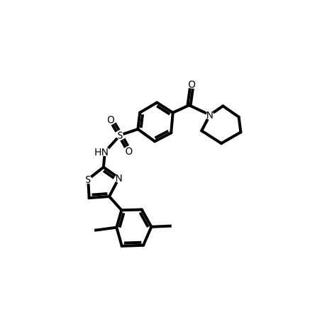 Cc1ccc(C)c(-c2csc(NS(=O)(=O)c3ccc(C(=O)N4CCCCC4)cc3)n2)c1